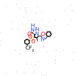 Cc1c(C(=O)N(C)Cc2ccccc2)[nH]c(C(N)=O)c1S(=O)(=O)c1cccc(C(F)(F)F)c1